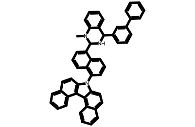 CN1c2ccccc2C(c2cccc(-c3ccccc3)c2)NC1c1cccc2c(-n3c4ccc5ccccc5c4c4c5ccccc5ccc43)cccc12